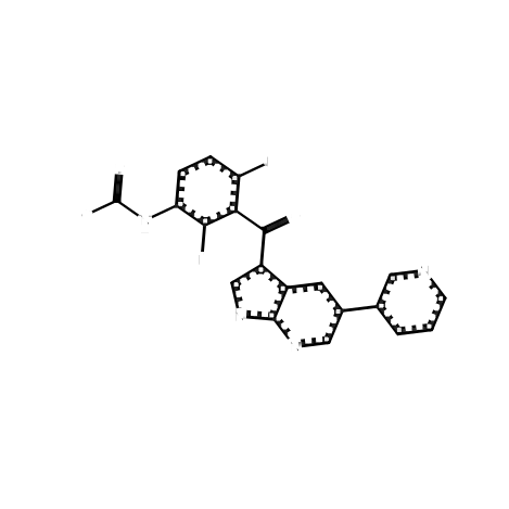 CC(=O)Nc1ccc(F)c(C(=O)c2c[nH]c3ncc(-c4cccnc4)cc23)c1F